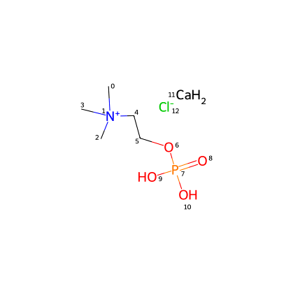 C[N+](C)(C)CCOP(=O)(O)O.[CaH2].[Cl-]